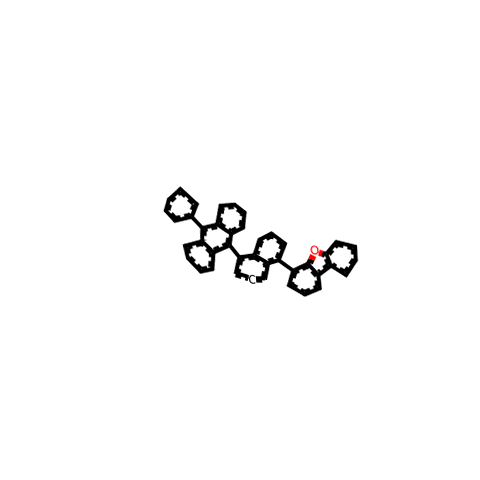 c1ccc(-c2c3ccccc3c(-c3cccc4c(-c5cccc6c5oc5ccccc56)cccc34)c3ccccc23)cc1